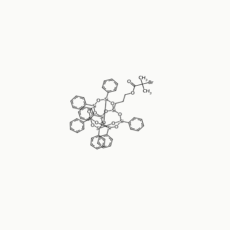 CC(C)(Br)C(=O)OCCC[Si]12O[Si]3(c4ccccc4)O[Si]4(c5ccccc5)O[Si](c5ccccc5)(O1)O[Si]1(c5ccccc5)O[Si](c5ccccc5)(O2)O[Si](c2ccccc2)(O3)O[Si](c2ccccc2)(O4)O1